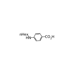 CCCCCCNc1ccc(C(=O)O)cc1